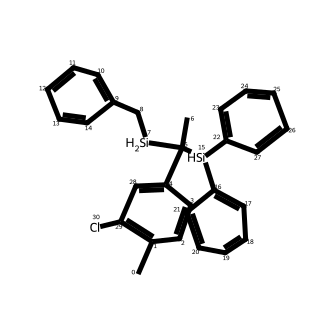 Cc1ccc(C(C)([SiH2]Cc2ccccc2)[SiH](c2ccccc2)c2ccccc2)cc1Cl